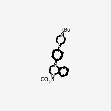 CC(C)(C)N1CCN(c2ccc(N3CCN(C(=O)O)c4ccccc43)cc2)CC1